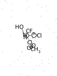 CS(=O)(=O)c1ccc(-c2nn(CCCO)c(C(F)(F)F)c2-c2ccc(Cl)cc2)cc1